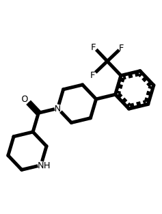 O=C(C1CCCNC1)N1CCC(c2ccccc2C(F)(F)F)CC1